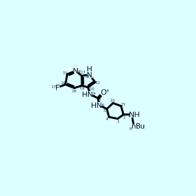 CCCCNC1CCC(NC(=O)Nc2c[nH]c3ncc(F)cc23)CC1